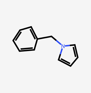 c1ccc(Cn2cccc2)cc1